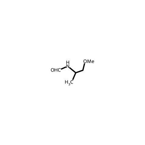 COCC(C)NC=O